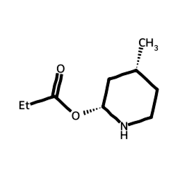 CCC(=O)O[C@@H]1C[C@H](C)CCN1